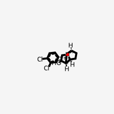 O[C@H]1CN2[C@@H]3CC[C@H]2[C@H]1[C@H](c1ccc(Cl)c(Cl)c1)C3